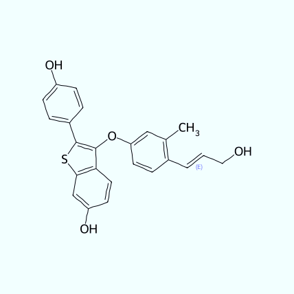 Cc1cc(Oc2c(-c3ccc(O)cc3)sc3cc(O)ccc23)ccc1/C=C/CO